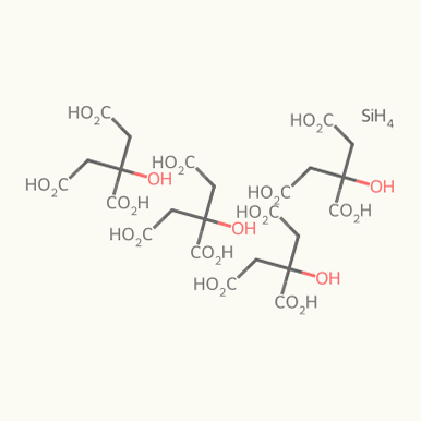 O=C(O)CC(O)(CC(=O)O)C(=O)O.O=C(O)CC(O)(CC(=O)O)C(=O)O.O=C(O)CC(O)(CC(=O)O)C(=O)O.O=C(O)CC(O)(CC(=O)O)C(=O)O.[SiH4]